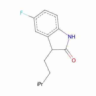 CC(C)CCC1C(=O)Nc2ccc(F)cc21